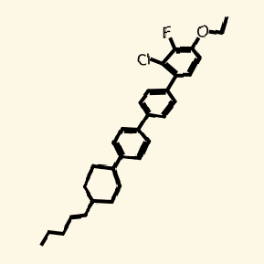 CCCCCC1CCC(c2ccc(-c3ccc(-c4ccc(OCC)c(F)c4Cl)cc3)cc2)CC1